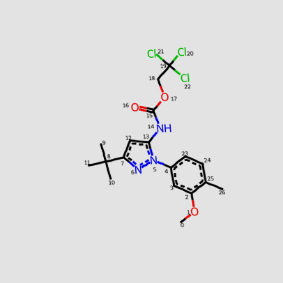 COc1cc(-n2nc(C(C)(C)C)cc2NC(=O)OCC(Cl)(Cl)Cl)ccc1C